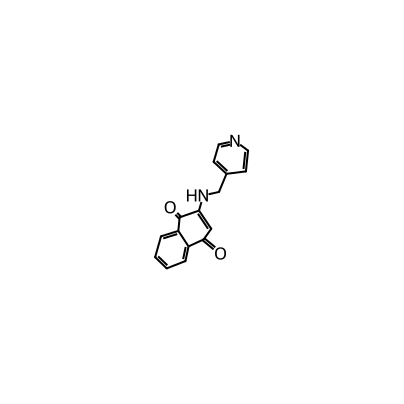 O=C1C=C(NCc2ccncc2)C(=O)c2ccccc21